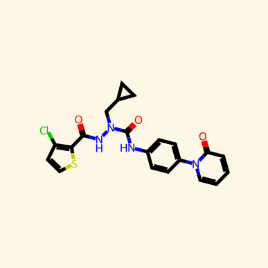 O=C(NN(CC1CC1)C(=O)Nc1ccc(-n2ccccc2=O)cc1)c1sccc1Cl